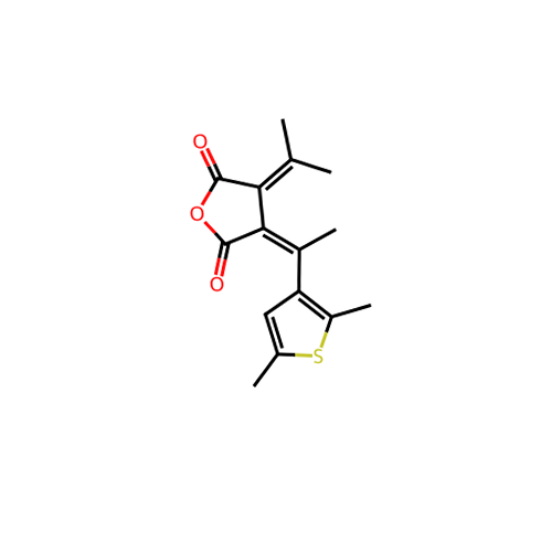 CC(C)=C1C(=O)OC(=O)C1=C(C)c1cc(C)sc1C